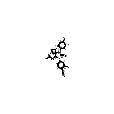 CC(=O)N=C1N(c2ccc(C#N)c(C)c2)C(=S)N(c2ccc(C)cc2)C12CCC2